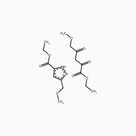 CCOC(=O)C(=O)CC(=O)COC.CCOC(=O)c1cc(COC)n[nH]1